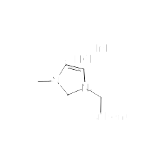 CCCCCCN1C=CN(C)C1.Cl.[InH3]